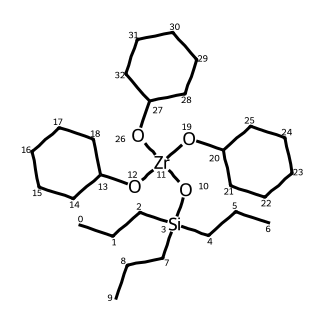 CCC[Si](CCC)(CCC)[O][Zr]([O]C1CCCCC1)([O]C1CCCCC1)[O]C1CCCCC1